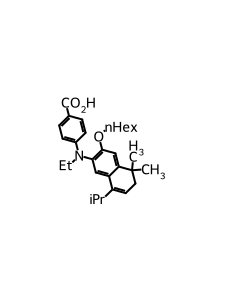 CCCCCCOc1cc2c(cc1N(CC)c1ccc(C(=O)O)cc1)C(C(C)C)=CCC2(C)C